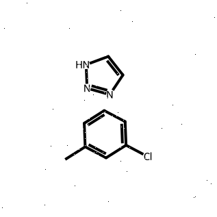 Cc1cccc(Cl)c1.c1c[nH]nn1